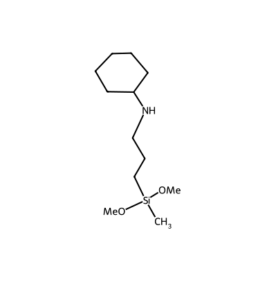 CO[Si](C)(CCCNC1CCCCC1)OC